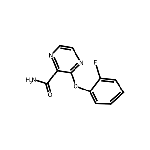 NC(=O)c1nccnc1Oc1ccccc1F